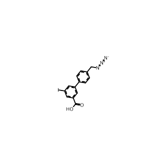 [N-]=[N+]=NCc1ccc(-c2cc(I)cc(C(=O)O)c2)cc1